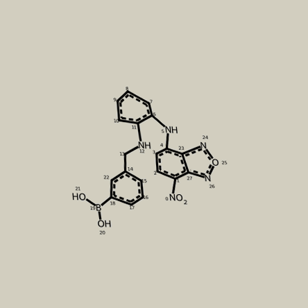 O=[N+]([O-])c1ccc(Nc2ccccc2NCc2cccc(B(O)O)c2)c2nonc12